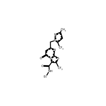 CCNC(=O)c1c(C(F)(F)F)sc2nc(Cn3nc(C)cc3C(F)(F)F)cc(=O)n12